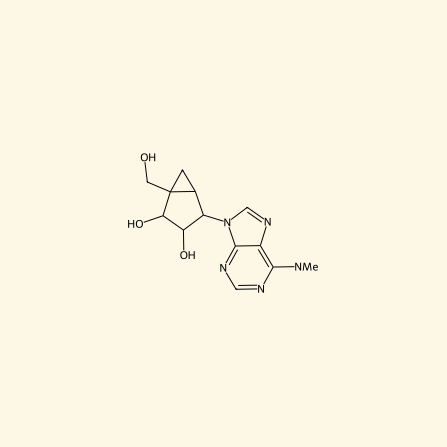 CNc1ncnc2c1ncn2C1C(O)C(O)C2(CO)CC12